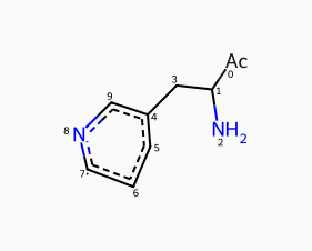 CC(=O)C(N)Cc1cc[c]nc1